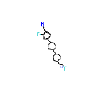 N#Cc1ccc(C2CCC(C3CCC(/C=C/F)CC3)CC2)cc1F